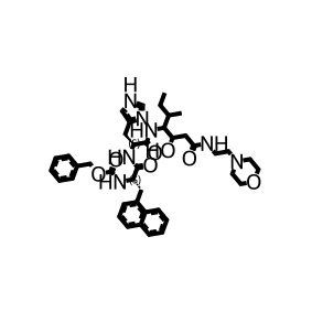 CCC(C)C(NC(=O)[C@H](Cc1c[nH]cn1)NC(=O)[C@H](Cc1cccc2ccccc12)NC(=O)OCc1ccccc1)C(O)CC(=O)NCCN1CCOCC1